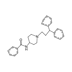 O=C(NC1CCN(CCC(c2ccccc2)c2ccccc2)CC1)c1ccccc1